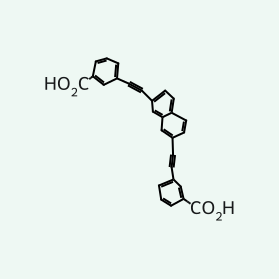 O=C(O)c1cccc(C#Cc2ccc3ccc(C#Cc4cccc(C(=O)O)c4)cc3c2)c1